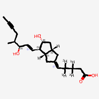 [2H]C([2H])(/C=C1\C[C@H]2C[C@@H](O)[C@H](/C=C/[C@@H](O)C(C)CC#CC)[C@H]2C1)C([2H])([2H])CC(=O)O